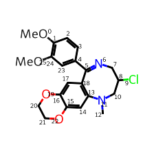 COc1ccc(/C2=N/CC(Cl)CN(C)c3cc4c(cc32)OCCO4)cc1OC